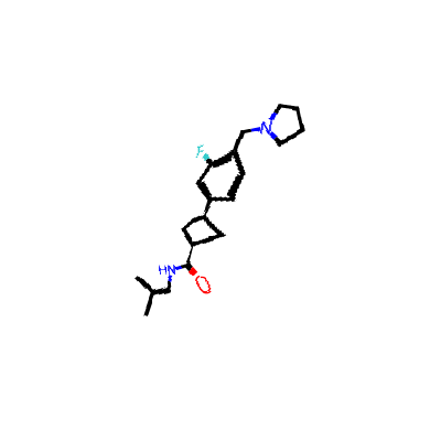 CC(C)CNC(=O)[C@H]1C[C@@H](c2ccc(CN3CCCC3)c(F)c2)C1